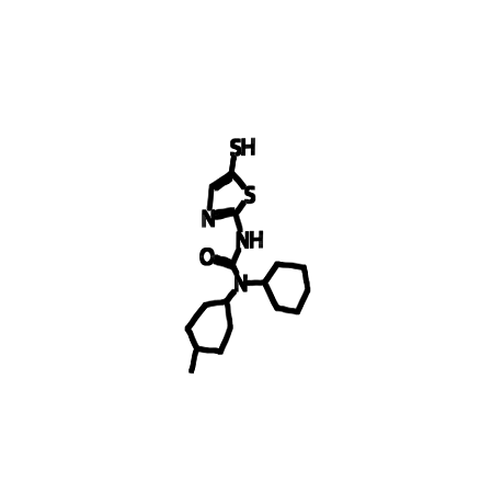 CC1CCC(N(C(=O)Nc2ncc(S)s2)C2CCCCC2)CC1